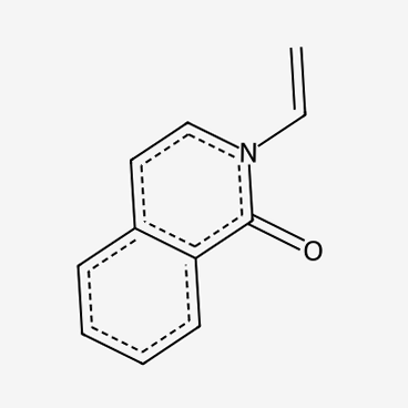 C=Cn1ccc2ccccc2c1=O